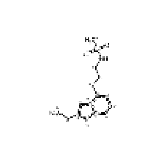 CS(=O)(=O)NCCSc1cccc2nc(CC(=O)O)cn12